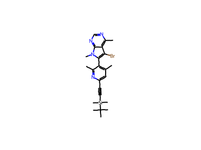 Cc1cc(C#C[Si](C)(C)C(C)(C)C)nc(C)c1-c1c(Br)c2c(C)ncnc2n1C